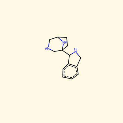 c1ccc2c(c1)CN[C]2C12CCC(CNC1)N2